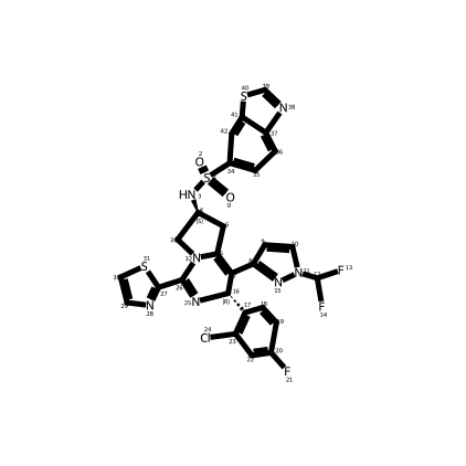 O=S(=O)(N[C@H]1CC2=C(c3ccn(C(F)F)n3)[C@H](c3ccc(F)cc3Cl)N=C(c3nccs3)N2C1)c1ccc2ncsc2c1